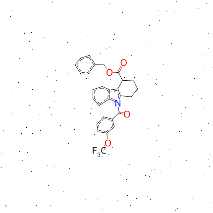 O=C(OCc1ccccc1)C1CCCc2c1c1ccccc1n2C(=O)c1cccc(OC(F)(F)F)c1